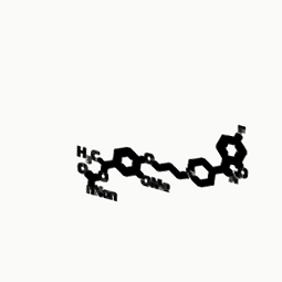 CCCCCCCCCC(=O)O[C@@H](C)c1ccc(OCCCN2CCC(c3noc4cc(F)ccc34)CC2)c(OC)c1